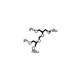 CCCCOCC(COC(C)C)OCOC(COCCCC)COC(C)C